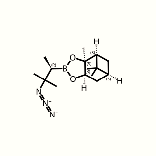 C[C@@H](B1O[C@@H]2C[C@@H]3C[C@@H](C3(C)C)[C@]2(C)O1)C(C)(C)N=[N+]=[N-]